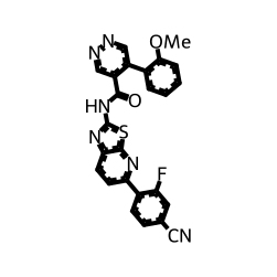 COc1ccccc1-c1cnncc1C(=O)Nc1nc2ccc(-c3ccc(C#N)cc3F)nc2s1